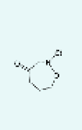 CCN1CC(=O)CCCO1